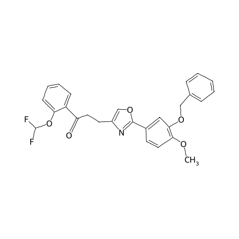 COc1ccc(-c2nc(CCC(=O)c3ccccc3OC(F)F)co2)cc1OCc1ccccc1